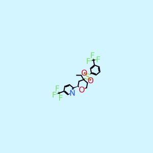 CCC1(S(=O)(=O)c2cccc(C(F)(F)F)c2)CCO[C@@H](c2ccc(C(F)(F)F)cn2)C1